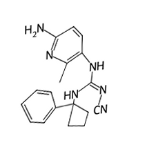 Cc1nc(N)ccc1N/C(=N/C#N)NC1(c2ccccc2)CCC1